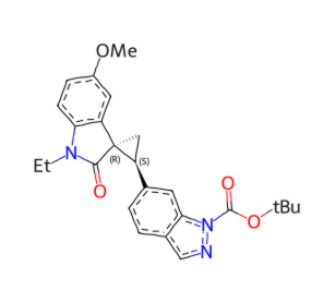 CCN1C(=O)[C@@]2(C[C@H]2c2ccc3cnn(C(=O)OC(C)(C)C)c3c2)c2cc(OC)ccc21